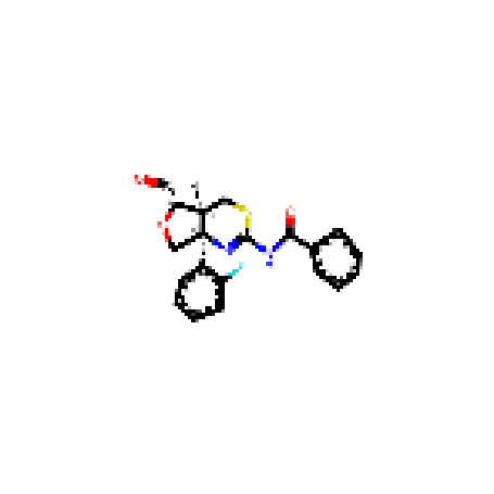 O=C[C@H]1OC[C@]2(c3ccccc3F)N=C(NC(=O)c3ccccc3)SC[C@H]12